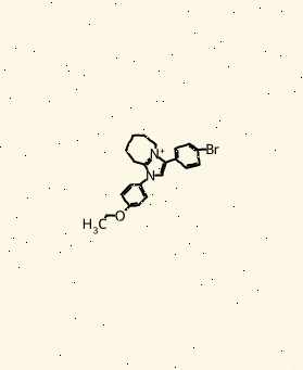 CCOc1ccc(-n2cc(-c3ccc(Br)cc3)[n+]3c2CCCCC3)cc1